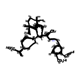 CC(C(=O)O)N1CCN(c2cc(C(=O)/C=C/c3ccc(C(=O)O)c(O)c3)cc3c2C(C)(C)CCC3(C)C)CC1